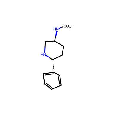 O=C(O)N[C@H]1CC[C@H](c2ccccc2)NC1